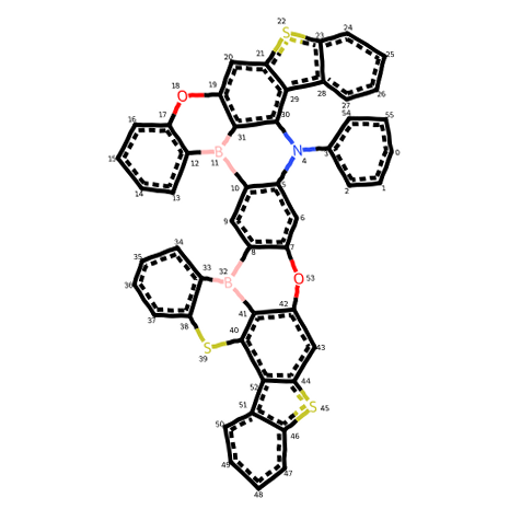 c1ccc(N2c3cc4c(cc3B3c5ccccc5Oc5cc6sc7ccccc7c6c2c53)B2c3ccccc3Sc3c2c(cc2sc5ccccc5c32)O4)cc1